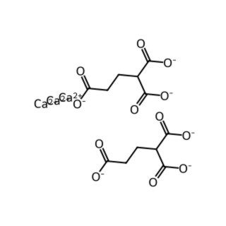 O=C([O-])CCC(C(=O)[O-])C(=O)[O-].O=C([O-])CCC(C(=O)[O-])C(=O)[O-].[Ca+2].[Ca+2].[Ca+2]